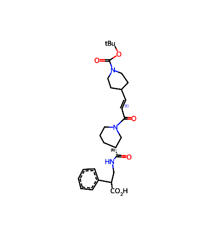 CC(C)(C)OC(=O)N1CCC(/C=C/C(=O)N2CCC[C@@H](C(=O)NCC(C(=O)O)c3ccccc3)C2)CC1